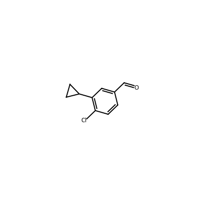 O=Cc1ccc(Cl)c(C2CC2)c1